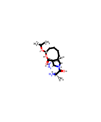 CC(C)OB1CCCC[C@H]2CN(C(=O)[C@H](C)N)C[C@@]2(N)C(=O)O1